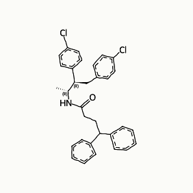 C[C@@H](NC(=O)CCC(c1ccccc1)c1ccccc1)[C@H](Cc1ccc(Cl)cc1)c1ccc(Cl)cc1